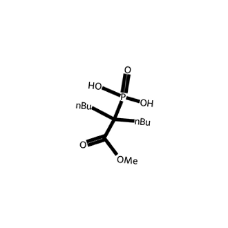 CCCCC(CCCC)(C(=O)OC)P(=O)(O)O